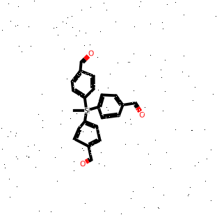 C[Si](c1ccc(C=O)cc1)(c1ccc(C=O)cc1)c1ccc(C=O)cc1